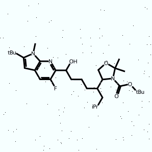 CC(C)CC(CCCC(O)c1nc2c(cc1F)cc(C(C)(C)C)n2C)C1COC(C)(C)N1C(=O)OC(C)(C)C